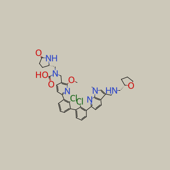 COc1nc(-c2cccc(-c3cccc(-c4ccc5c(CNC[C@@H]6CCCO6)cn(C)c5n4)c3Cl)c2Cl)ccc1CN(C[C@@H]1CCC(=O)N1)C(=O)O